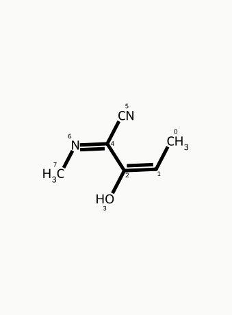 C/C=C(O)\C(C#N)=N/C